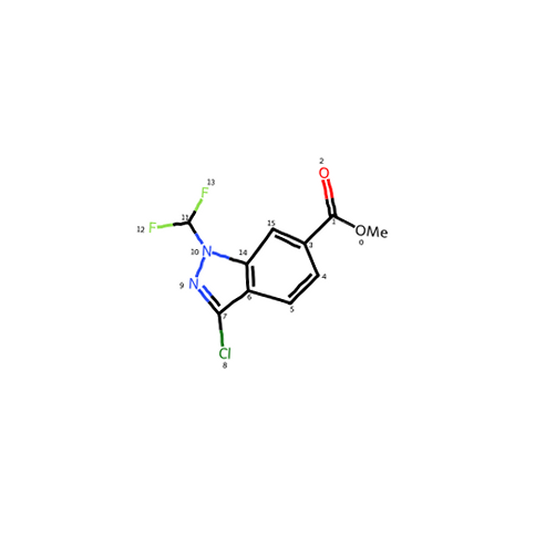 COC(=O)c1ccc2c(Cl)nn(C(F)F)c2c1